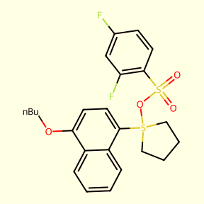 CCCCOc1ccc(S2(OS(=O)(=O)c3ccc(F)cc3F)CCCC2)c2ccccc12